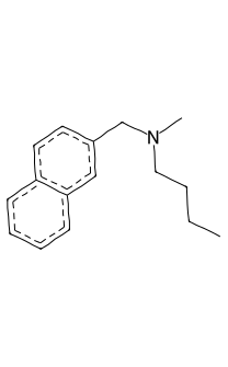 CCCCN(C)Cc1ccc2ccccc2c1